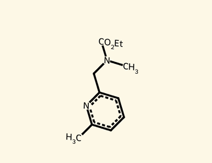 CCOC(=O)N(C)Cc1cccc(C)n1